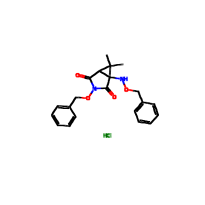 CC1(C)C2C(=O)N(OCc3ccccc3)C(=O)C21NOCc1ccccc1.Cl